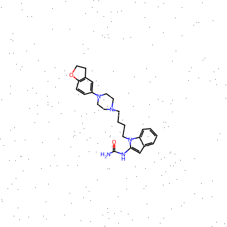 NC(=O)Nc1cc2ccccc2n1CCCCN1CCN(c2ccc3c(c2)CCO3)CC1